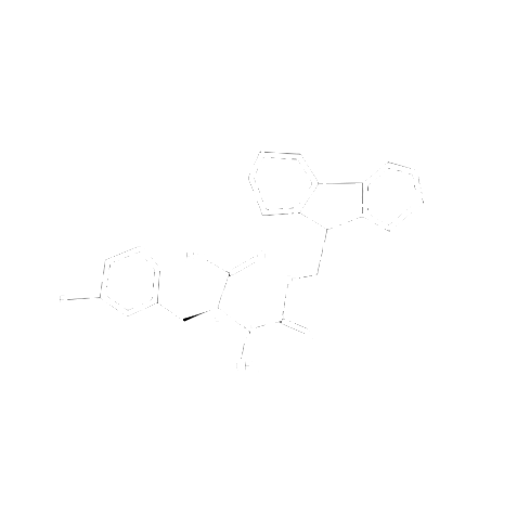 CN(C(=O)OCC1c2ccccc2-c2ccccc21)[C@@H](Cc1cccc(F)c1)C(=O)O